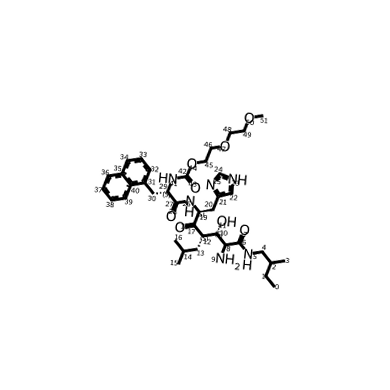 CCC(C)CNC(=O)C(N)[C@@H](O)[C@H](CC(C)C)C(=O)[C@H](Cc1c[nH]cn1)NC(=O)[C@H](Cc1cccc2ccccc12)NC(=O)OCCOCCOC